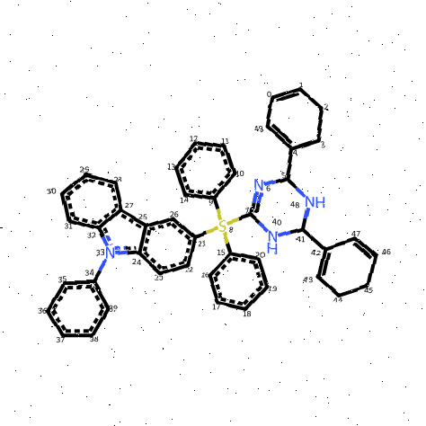 C1=CCCC(C2N=C(S(c3ccccc3)(c3ccccc3)c3ccc4c(c3)c3ccccc3n4-c3ccccc3)NC(C3=CCCC=C3)N2)=C1